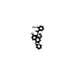 COc1ccccc1C(=O)N1CC2CCC1CN2Cc1c(-c2ccc(Cl)cc2)nc2ccccn12